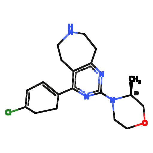 C[C@H]1COCCN1c1nc2c(c(C3=CC=C(Cl)CC3)n1)CCNCC2